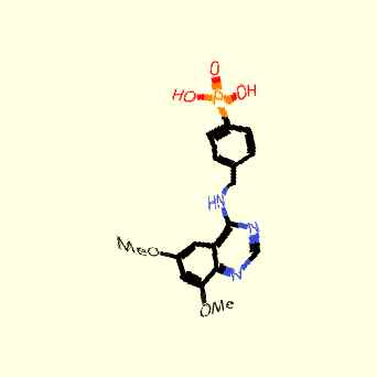 COc1cc(OC)c2ncnc(NCc3ccc(P(=O)(O)O)cc3)c2c1